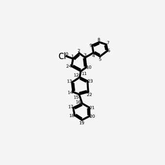 Clc1cc(-c2ccccc2)cc(-c2ccc(-c3ccccc3)cc2)c1